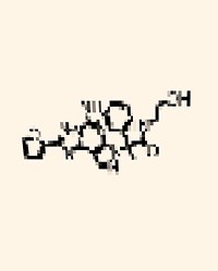 CC(C(=O)NCCO)(c1ccccc1)n1ncc2c1nc(N)n1nc(-c3ccco3)nc21